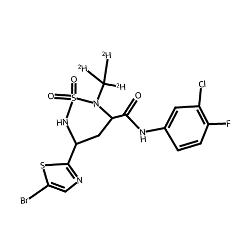 [2H]C([2H])([2H])N1C(C(=O)Nc2ccc(F)c(Cl)c2)CC(c2ncc(Br)s2)NS1(=O)=O